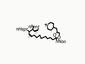 CCCCC/C=C\C(C)C(/C=C\CCCCCCCCC1(CCCCCCCCC)OCC(CC2CCN(C)CC2)O1)CCCCCCC